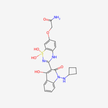 NC(=O)COc1ccc2c(c1)S(O)(O)N=C(c1c(O)c3ccccc3n(NC3CCC3)c1=O)N2